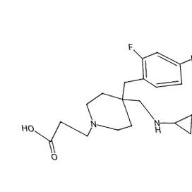 O=C(O)CCN1CCC(CNC2CC2)(Cc2ccc(F)cc2F)CC1